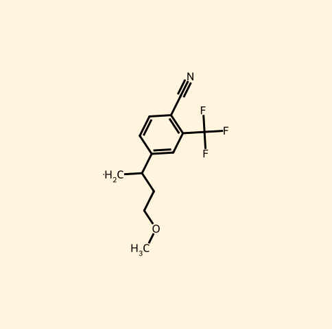 [CH2]C(CCOC)c1ccc(C#N)c(C(F)(F)F)c1